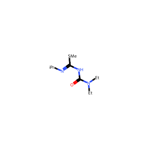 CCN(CC)C(=O)NC(=NC(C)C)SC